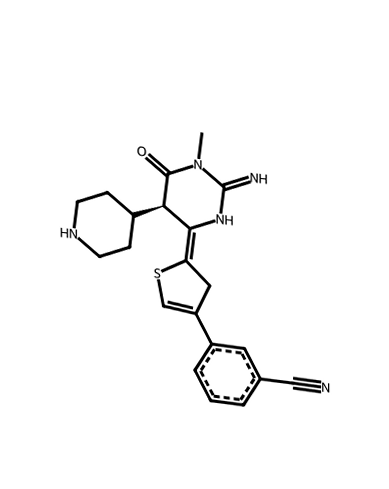 CN1C(=N)N/C(=C2\CC(c3cccc(C#N)c3)=CS2)[C@@H](C2CCNCC2)C1=O